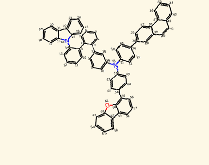 c1cc(-c2ccccc2-c2ccccc2-n2c3ccccc3c3ccccc32)cc(N(c2ccc(-c3ccc4c(ccc5ccccc54)c3)cc2)c2ccc(-c3cccc4c3oc3ccccc34)cc2)c1